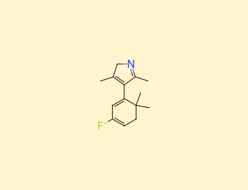 CC1=NCC(C)=C1C1=CC(F)=CCC1(C)C